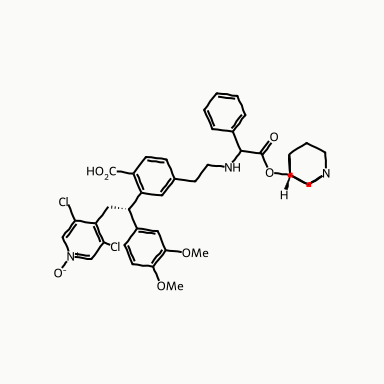 COc1ccc([C@H](Cc2c(Cl)c[n+]([O-])cc2Cl)c2cc(CCNC(C(=O)O[C@H]3CN4CCC3CC4)c3ccccc3)ccc2C(=O)O)cc1OC